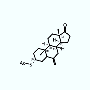 C=C1C[C@@H]2[C@H](CC[C@]3(C)C(=O)CC[C@@H]23)[C@@]2(C)CC[C@@H](SC(C)=O)CC12